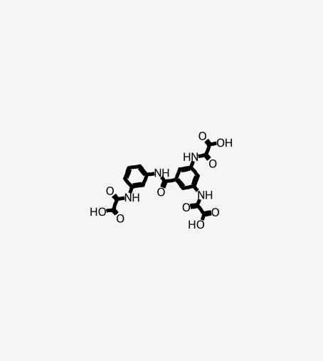 O=C(O)C(=O)Nc1cccc(NC(=O)c2cc(NC(=O)C(=O)O)cc(NC(=O)C(=O)O)c2)c1